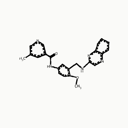 COc1ccc(NC(=O)c2cncc(C)c2)cc1CNc1cnc2ccccc2n1